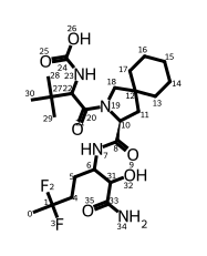 CC(F)(F)CCC(NC(=O)[C@@H]1CC2(CCCCC2)CN1C(=O)C(NC(=O)O)C(C)(C)C)C(O)C(N)=O